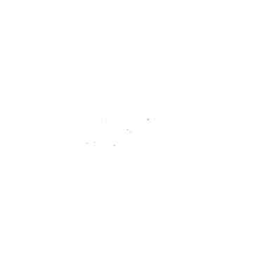 C=CC[C@]12C=C[C@H](C1)[C@H](NC(=O)[C@H](O)C(C)(C)CO)[C@@H]2C(=O)O